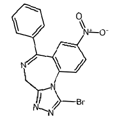 O=[N+]([O-])c1ccc2c(c1)C(c1ccccc1)=NCc1nnc(Br)n1-2